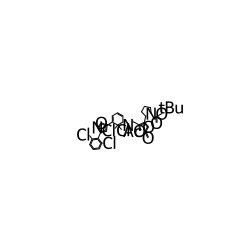 CC(=O)N(Cc1oc(=O)oc1C1CCCN1C(=O)OC(C)(C)C)C1C=CC=C(c2cc(-c3c(Cl)cccc3Cl)no2)C1(Cl)Cl